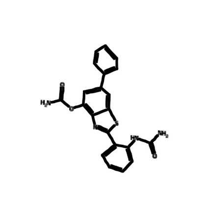 NC(=O)Nc1ccccc1-c1nc2c(OC(N)=O)cc(-c3ccccc3)cc2s1